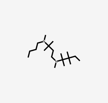 CCCCN(C)C(C)(C)CCN(C)C(C)(C)C(C)(C)CC